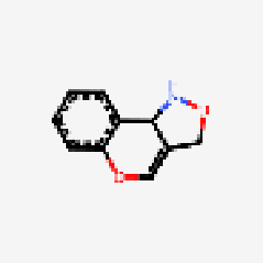 C1=C2CONC2c2ccccc2O1